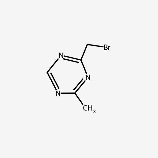 Cc1ncnc(CBr)n1